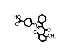 Cc1cccc(Cl)c1C(=O)c1nn(C2=CCC(C(=O)O)CC2)c2c1CCCC2